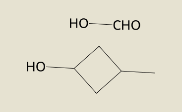 CC1CC(O)C1.O=CO